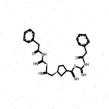 N=C(C[C@H]1CCC(C(=N)SC(=N)NC(=O)Cc2ccccc2)C1)SC(=N)NC(=O)Cc1ccccc1